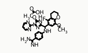 CC(=O)O.COc1cc(C(Nc2ccc(C(=N)N)cc2)c2nn(-c3ncccn3)c(=O)[nH]2)c(F)c2c1OCCC2